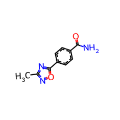 Cc1noc(-c2ccc(C(N)=O)cc2)n1